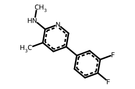 CNc1ncc(-c2ccc(F)c(F)c2)cc1C